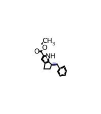 CCOC(=O)c1cc2c([nH]1)/C(=C/c1ccccc1)CC2